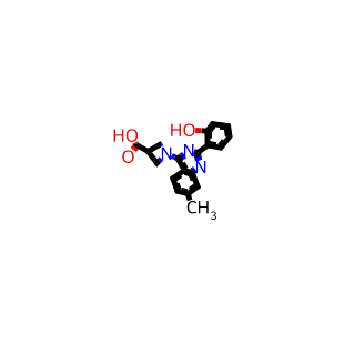 Cc1ccc2c(N3CC(C(=O)O)C3)nc(-c3ccccc3O)nc2c1